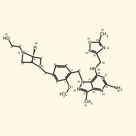 COc1cc(CN2C[C@@H]3C2CN3CCO)ccc1Cn1nc(C)c2nc(N)nc(NCc3noc(C)n3)c21